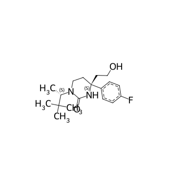 C[C@H](N1CC[C@](CCO)(c2ccc(F)cc2)NC1=O)C(C)(C)C